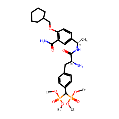 CCOP(=O)(OCC)C(c1ccc(C[C@H](N)C(=O)N[C@@H](C)c2ccc(OCC3CCCCC3)c(C(N)=O)c2)cc1)P(=O)(OCC)OCC